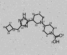 O=C(O)N1CCC(N2CCCC(c3nc(CC4CCC4)n[nH]3)C2)CC1